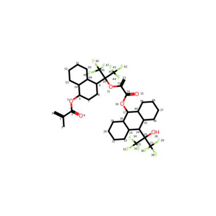 C=C(C)C(=O)OC1CCC(C(OC(=C)C(=O)OC2C3CCCCC3C(C(O)(C(F)(F)F)C(F)(F)F)C3CCCCC32)(C(F)(F)F)C(F)(F)F)C2CCCCC12